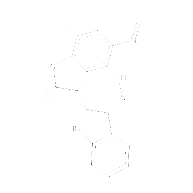 Cc1cc([N+](=O)[O-])cc2c1NC(=O)/C2=C1\Nc2ccccc2\C1=N\O